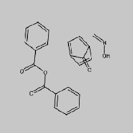 C=NO.O=C(OC(=O)c1ccccc1)c1ccccc1.O=C1C2=CC=C1C=C2